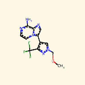 COCn1cc(-c2cnc3c(N)nccn23)c(C(F)(F)F)n1